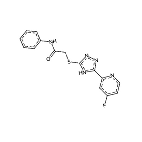 O=C(CSc1nnc(-c2cc(F)ccn2)[nH]1)Nc1ccccc1